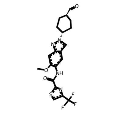 COc1cc2nn([C@H]3CC[C@H](C=O)CC3)cc2cc1NC(=O)c1nc(C(F)(F)F)cs1